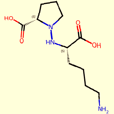 NCCCC[C@H](NN1CCC[C@H]1C(=O)O)C(=O)O